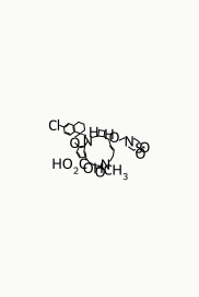 CN1CC/C=C/[C@H](OCCN2CCS(=O)(=O)CC2)[C@@H]2CC[C@H]2CN2C[C@@]3(CCCc4cc(Cl)ccc43)COc3ccc(cc32)[C@@](O)(C(=O)O)CC1=O